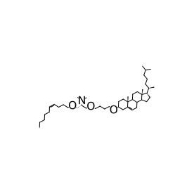 CCCCC/C=C\CCCOC[C@@H](COCCCCO[C@H]1CC[C@@]2(C)C(=CCC3C2CC[C@@]2(C)C3CC[C@@H]2[C@H](C)CCCC(C)C)C1)N(C)C